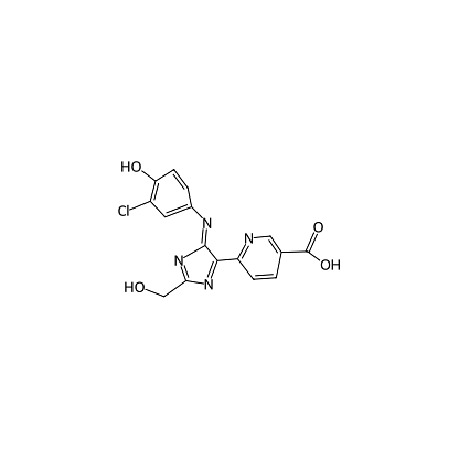 O=C(O)c1ccc(C2=NC(CO)=NC2=Nc2ccc(O)c(Cl)c2)nc1